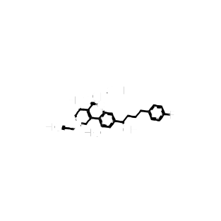 C#CCN1CCC2=C(C1)c1c(O)cc(C(C)CCCc3ccc(F)cc3)cc1OC2(C)C.Cl